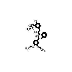 CCOc1ccc([C@@H](Cc2ccccc2)NC[C@@H](O)Cc2ccc(O)c(NS(C)(=O)=O)c2)cc1OCC